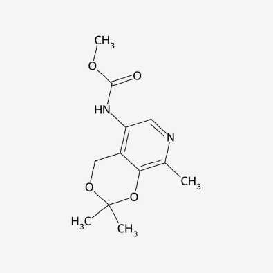 COC(=O)Nc1cnc(C)c2c1COC(C)(C)O2